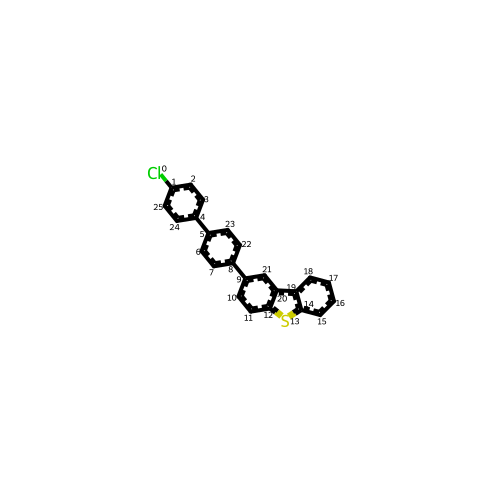 Clc1ccc(-c2ccc(-c3ccc4sc5ccccc5c4c3)cc2)cc1